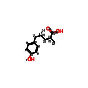 C[C@@H](Cc1ccc(O)cc1)C[C@H](C)C(=O)O